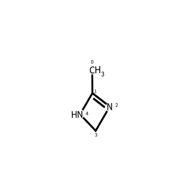 CC1=NCN1